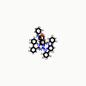 c1ccc(-c2nc(-c3ccccc3-c3ccccc3)nc(-n3c4ccccc4c4ccc5c6ccccc6n(-c6cccc(-c7nc8ccccc8o7)c6)c5c43)n2)cc1